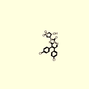 O=c1n([C@H]2CS(=O)(=O)C[C@@H]2O)nc2c(-c3ccc(Cl)cc3)c(-c3ccc(Cl)cc3)cnn12